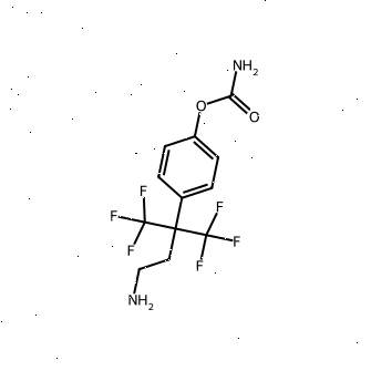 NCCC(c1ccc(OC(N)=O)cc1)(C(F)(F)F)C(F)(F)F